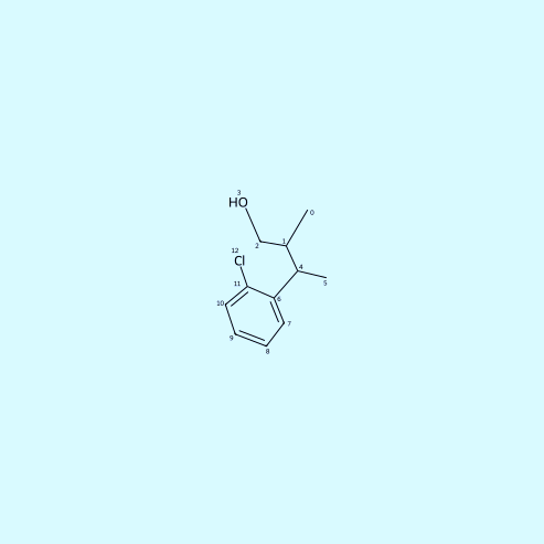 CC(CO)C(C)c1ccccc1Cl